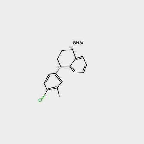 CC(=O)N[C@H]1CC[C@@H](c2ccc(Cl)c(C)c2)c2ccccc21